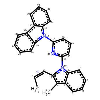 C/C=C\c1c(C)c2ccccc2n1-c1cccc(-n2c3ccccc3c3ccccc32)n1